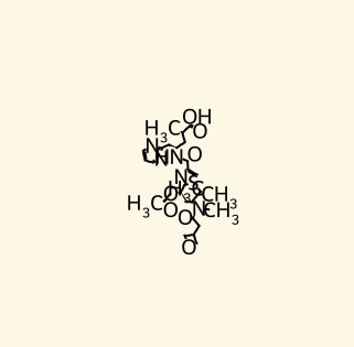 CC(=O)O[C@H](CC(C(C)C)N(C)C(=O)CC1COC1)c1nc(C(=O)N[C@@H](Cc2ncccn2)C[C@H](C)C(=O)O)cs1